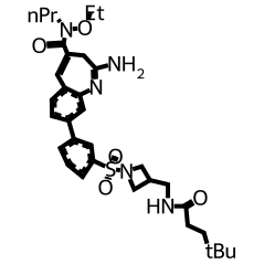 CCCN(OCC)C(=O)C1=Cc2ccc(-c3cccc(S(=O)(=O)N4CC(CNC(=O)CCC(C)(C)C)C4)c3)cc2N=C(N)C1